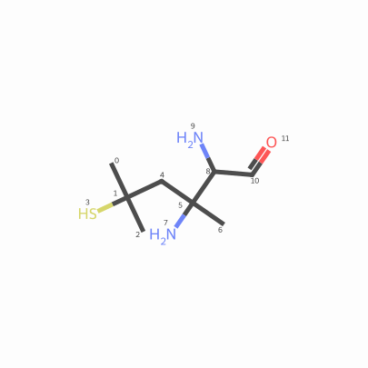 CC(C)(S)CC(C)(N)C(N)C=O